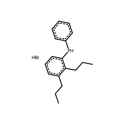 Br.CCCc1cccc(Pc2ccccc2)c1CCC